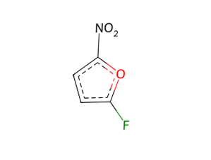 O=[N+]([O-])c1ccc(F)o1